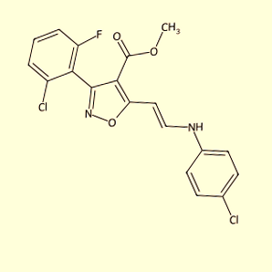 COC(=O)c1c(-c2c(F)cccc2Cl)noc1/C=C/Nc1ccc(Cl)cc1